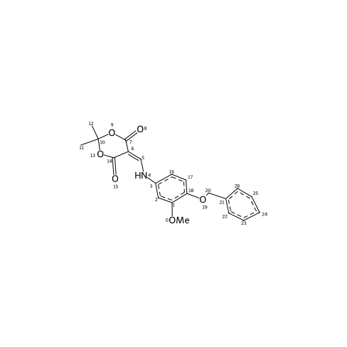 COc1cc(NC=C2C(=O)OC(C)(C)OC2=O)ccc1OCc1ccccc1